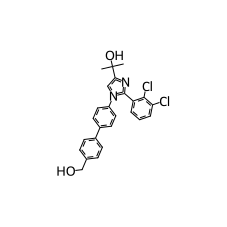 CC(C)(O)c1cn(-c2ccc(-c3ccc(CO)cc3)cc2)c(-c2cccc(Cl)c2Cl)n1